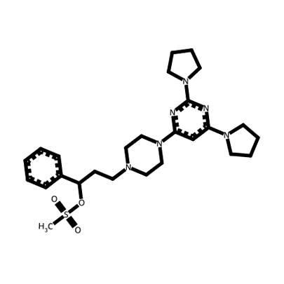 CS(=O)(=O)OC(CCN1CCN(c2cc(N3CCCC3)nc(N3CCCC3)n2)CC1)c1ccccc1